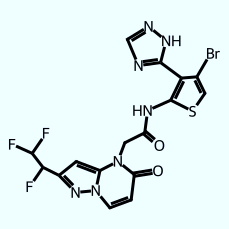 O=C(Cn1c(=O)ccn2nc(C(F)C(F)F)cc12)Nc1scc(Br)c1-c1ncn[nH]1